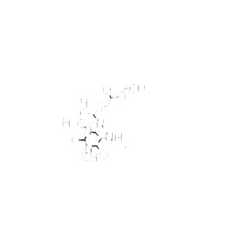 CCOC(=O)CS/C(C)=N/c1c(N)c(=O)n(C)c(=O)n1C